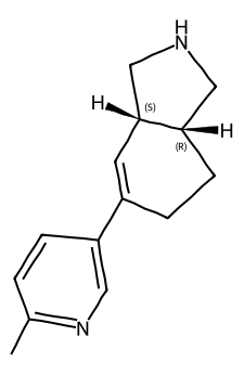 Cc1ccc(C2=C[C@@H]3CNC[C@@H]3CC2)cn1